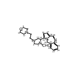 O=CN1CCN(CCN2CCOCC2)CC1c1ccc2n1Cc1ccccc1N=C2